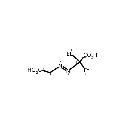 CCC(CC)(N=NCC(=O)O)C(=O)O